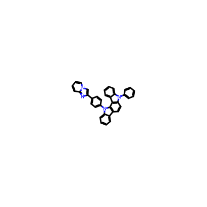 c1ccc(-n2c3ccccc3c3c2ccc2c4ccccc4n(-c4ccc(-c5cn6ccccc6n5)cc4)c23)cc1